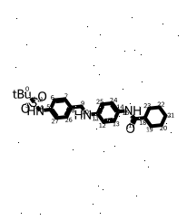 CC(C)(C)S(=O)(=O)Nc1ccc(CNc2ccc(NC(=O)C3CCCCC3)cc2)cc1